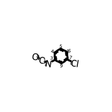 O=C=Nc1cc[c]c(Cl)c1